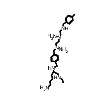 CCNCC(CCCCN)NCc1ccc(CN(N)CCN(N)CCNCc2ccc(C)cc2)cc1